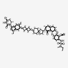 CCN(C)S(=O)(=O)Nc1ccc(F)c(Oc2ccc3ncn(C4COC5(CCN(C6CC7(C6)CN(c6cc8c(cc6F)c(N6CCC(=O)NC6=O)nn8C)C7)CC5)C4)c(=O)c3c2)c1C#N